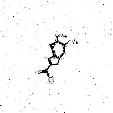 COc1cc2c(cc1OC)CC(C(=O)Cl)=C2